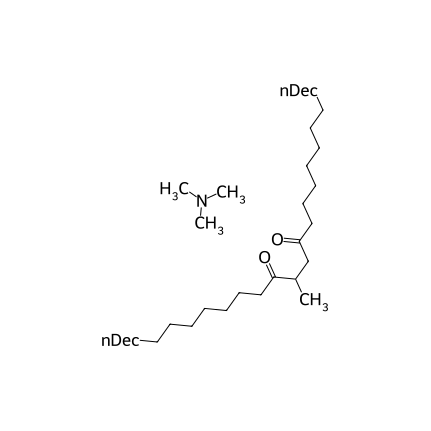 CCCCCCCCCCCCCCCCCC(=O)CC(C)C(=O)CCCCCCCCCCCCCCCCC.CN(C)C